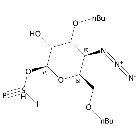 CCCCOC[C@H]1O[C@@H](O[SH](#P)I)C(O)C(OCCCC)[C@H]1N=[N+]=[N-]